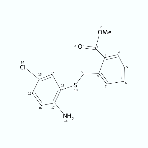 COC(=O)c1ccccc1CSc1cc(Cl)ccc1N